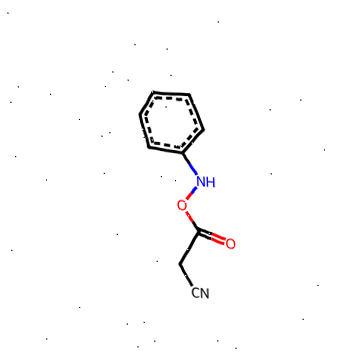 N#CCC(=O)ONc1ccccc1